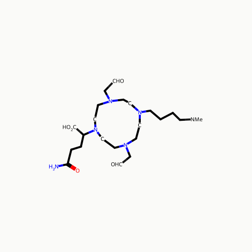 CNCCCCN1CCN(CC=O)CCN(C(CCC(N)=O)C(=O)O)CCN(CC=O)CC1